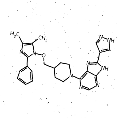 Cc1nc(-c2ccccc2)n(OCC2CCN(c3ncnc4[nH]c(-c5cn[nH]c5)nc34)CC2)c1C